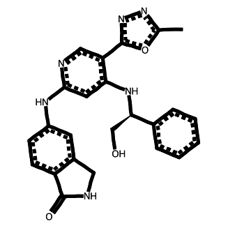 Cc1nnc(-c2cnc(Nc3ccc4c(c3)CNC4=O)cc2N[C@H](CO)c2ccccc2)o1